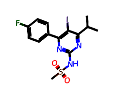 CC(C)c1nc(NS(C)(=O)=O)nc(-c2ccc(F)cc2)c1I